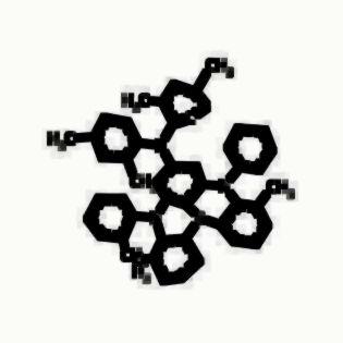 Cc1ccc(N(c2cc3c4c(c2)N(c2ccccc2C)c2c(C)cccc2B4c2cccc(C)c2N3c2ccccc2)c2ccc(C)cc2C)c(C)c1